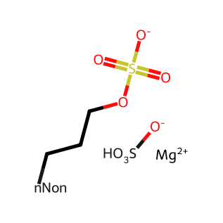 CCCCCCCCCCCCOS(=O)(=O)[O-].O=S(=O)([O-])O.[Mg+2]